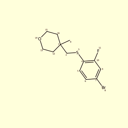 CC1(CSc2ccc(Br)cc2F)CCOCC1